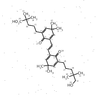 CC1(C)C=C(C=CC2=CC(C)(C)C=C(CCCC(C)(C)C(=O)O)C2=O)C(=O)C(CCCC(C)(C)CO)=C1